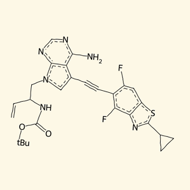 C=CC(Cn1cc(C#Cc2c(F)cc3sc(C4CC4)nc3c2F)c2c(N)ncnc21)NC(=O)OC(C)(C)C